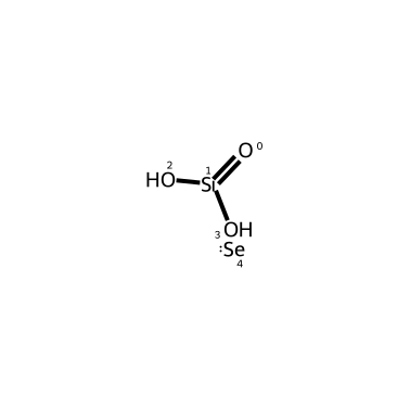 O=[Si](O)O.[Se]